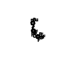 CCCCC1CCC(CCc2ccc(C(F)(F)Oc3cc(F)c(OC(F)F)c(F)c3)c(F)c2)CC1